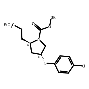 CCOC(=O)CC[C@@H]1C[C@@H](Oc2ccc(Cl)cc2)CN1C(=O)OC(C)(C)C